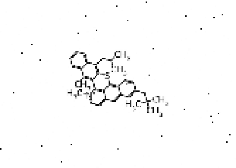 Cc1c2c(c(CC(C)C)c3ccccc13)Sc1c3ccc(CC(C)(C)C)cc3cc3cc[n+](C)c-2c13